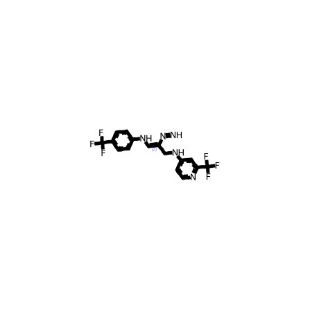 N=N/C(=C\Nc1ccc(C(F)(F)F)cc1)CNc1ccnc(C(F)(F)F)c1